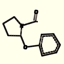 O=[C]N1CCCC1Oc1ccccc1